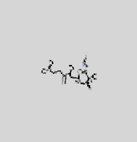 C=C1C[C@@H](CC(=O)NCCC(=O)OC)O[C@H](/C=C/I)[C@H]1O